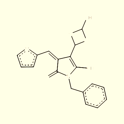 CC1=C(C2OC(C)O2)/C(=C/c2ccco2)C(=O)N1Cc1ccccc1